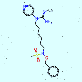 CS(=O)(=O)N(CCCCCCN(C(N)=NC#N)c1ccncc1)OCc1ccccc1